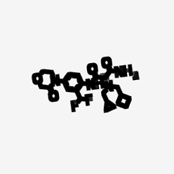 NC(=O)[C@@H](C(=O)Nc1ccc(N2CCOCC2=O)cc1C(F)F)N(CC1CCC1)CC1CC1